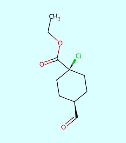 CCOC(=O)[C@]1(Cl)CC[C@@H](C=O)CC1